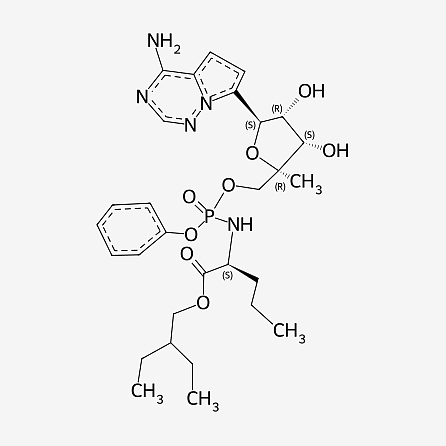 CCC[C@H](NP(=O)(OC[C@@]1(C)O[C@@H](c2ccc3c(N)ncnn23)[C@H](O)[C@@H]1O)Oc1ccccc1)C(=O)OCC(CC)CC